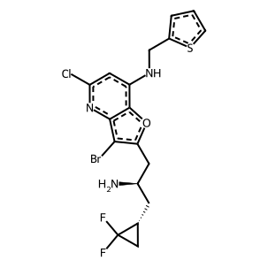 N[C@@H](Cc1oc2c(NCc3cccs3)cc(Cl)nc2c1Br)C[C@@H]1CC1(F)F